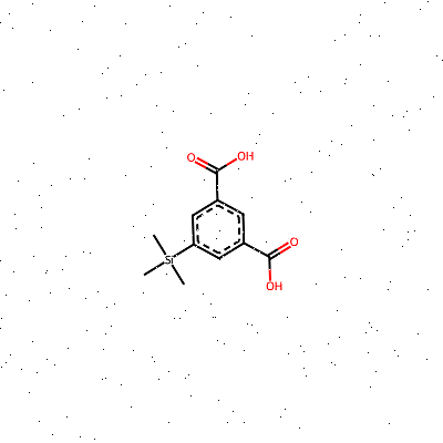 C[Si](C)(C)c1cc(C(=O)O)cc(C(=O)O)c1